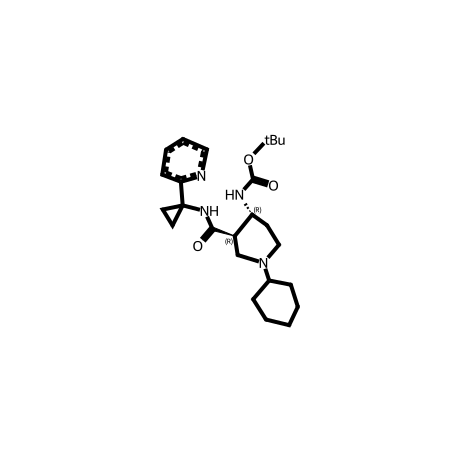 CC(C)(C)OC(=O)N[C@@H]1CCN(C2CCCCC2)C[C@H]1C(=O)NC1(c2ccccn2)CC1